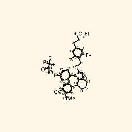 CCOC(=O)CCc1cc(F)c(CSc2nc3c(n2-c2ccc(F)cc2)C(c2ccc(Cl)c(OC)c2)CCC3)c(F)c1.O=C(O)C(F)(F)F